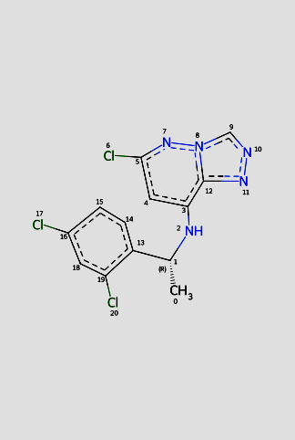 C[C@@H](Nc1cc(Cl)nn2cnnc12)c1ccc(Cl)cc1Cl